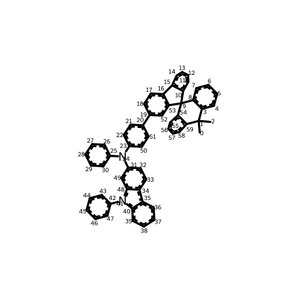 CC1(C)c2ccccc2C2(c3ccccc3-c3ccc(-c4ccc(N(c5ccccc5)c5ccc6c7ccccc7n(-c7ccccc7)c6c5)cc4)cc32)c2ccccc21